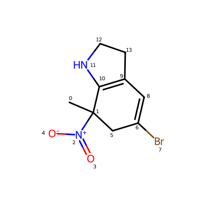 CC1([N+](=O)[O-])CC(Br)=CC2=C1NCC2